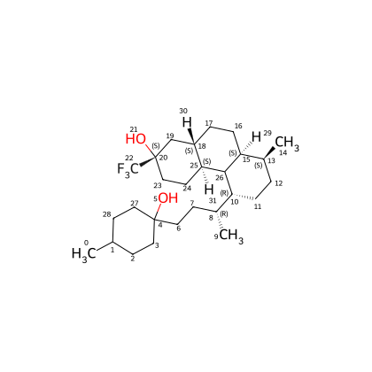 CC1CCC(O)(CC[C@@H](C)[C@H]2CC[C@H](C)[C@@H]3CC[C@H]4C[C@](O)(C(F)(F)F)CC[C@@H]4C32)CC1